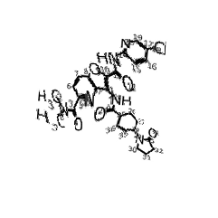 CN(C)C(=O)c1ccc2oc(C(=O)Nc3ccc(Cl)cn3)c(NC(=O)[C@H]3CC[C@H](N4CCCC4=O)CC3)c2n1